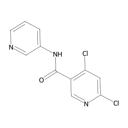 O=C(Nc1cccnc1)c1cnc(Cl)cc1Cl